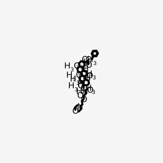 CC1(C)[C@@H](C(=O)NCC(=O)OCCN2CCOCC2)CC[C@]2(C)[C@H]3C(=O)C=C4[C@@H]5C[C@@](C)(C(=O)OCc6ccccc6)CC[C@]5(C)CC[C@@]4(C)[C@]3(C)CC[C@@H]12